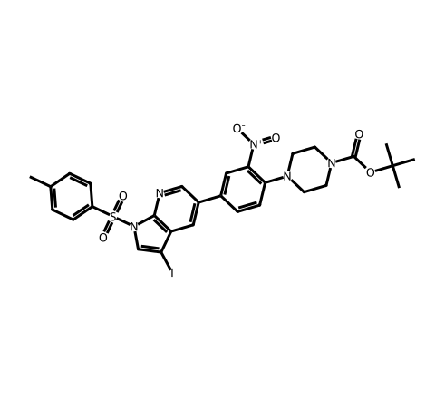 Cc1ccc(S(=O)(=O)n2cc(I)c3cc(-c4ccc(N5CCN(C(=O)OC(C)(C)C)CC5)c([N+](=O)[O-])c4)cnc32)cc1